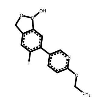 CCOc1ccc(-c2cc3c(cc2F)COB3O)cn1